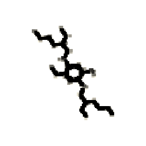 CCCCC(CC)COc1cc(CC)c(OCC(CC)CCCC)cc1Br